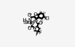 CC(C)(C)OC(=O)N1CC(F)(F)CC1C(=O)Nc1c(C(N)=O)oc2ccc(Cl)cc12